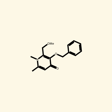 COCc1c(OCc2ccccc2)c(=O)cc(C)n1C